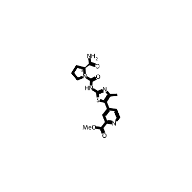 COC(=O)c1cc(-c2sc(NC(=O)N3CCC[C@H]3C(N)=O)nc2C)ccn1